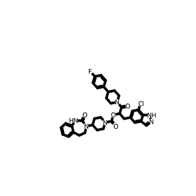 O=C(OC(Cc1cc(Cl)c2[nH]ncc2c1)C(=O)N1CCC(c2ccc(F)cc2)CC1)N1CCC(N2CCc3ccccc3NC2=O)CC1